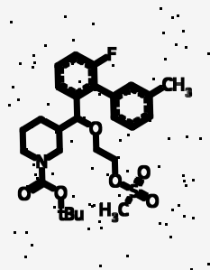 Cc1cccc(-c2c(F)cccc2C(OCCOS(C)(=O)=O)C2CCCN(C(=O)OC(C)(C)C)C2)c1